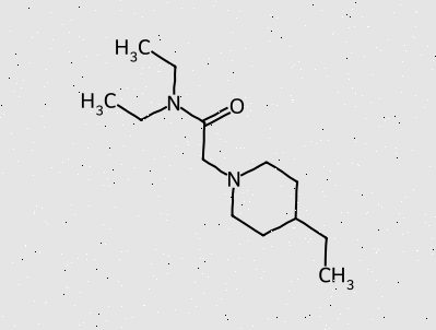 CCC1CCN(CC(=O)N(CC)CC)CC1